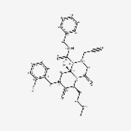 C#CCN1CC(=O)N2[C@@H](CCSC)C(=O)N(Cc3ccccc3Cl)C[C@@H]2N1C(=O)NCc1ccccc1